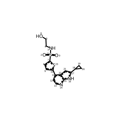 O=S(=O)(NCCO)c1ccc(-c2ccnc3[nH]c(C4CC4)cc23)s1